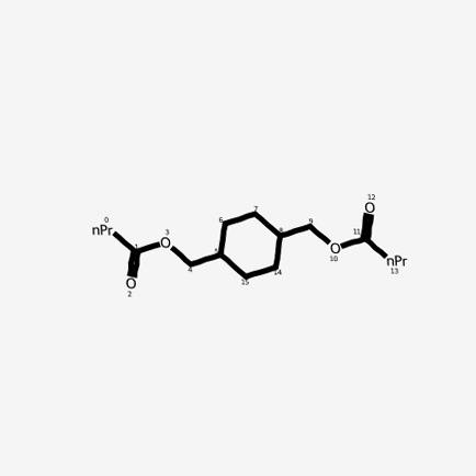 CCCC(=O)OCC1CCC(COC(=O)CCC)CC1